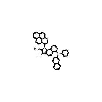 Cc1c(C)n(-c2ccc3ccc4cccc5ccc2c3c45)c2c1ccc1c(N(c3ccccc3)c3ccc4ccccc4c3)cccc12